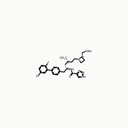 COC[C@H]1CCN1CC[C@H](C[C@@H](Cc1ccc(-c2cc(Cl)ccc2F)cc1)NC(=O)c1c[nH]nn1)C(=O)O